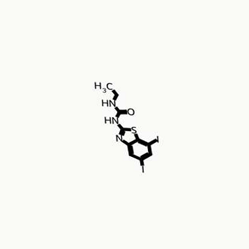 CCNC(=O)Nc1nc2cc(I)cc(I)c2s1